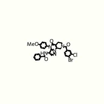 COc1ccc(-n2c(=O)c3c(n4ncc(NC(=O)c5ccccc5)c24)CN(C(=O)c2ccc(Br)c(Cl)c2)CC3)cc1